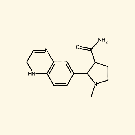 CN1CCC(C(N)=O)C1c1ccc2c(c1)N=CCN2